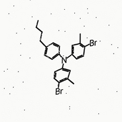 CCCCc1ccc(N(c2ccc(Br)c(C)c2)c2ccc(Br)c(C)c2)cc1